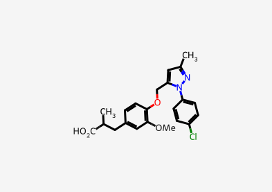 COc1cc(CC(C)C(=O)O)ccc1OCc1cc(C)nn1-c1ccc(Cl)cc1